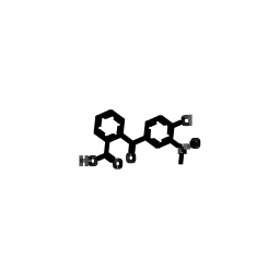 C[N+](=O)c1cc(C(=O)c2ccccc2C(=O)O)ccc1Cl